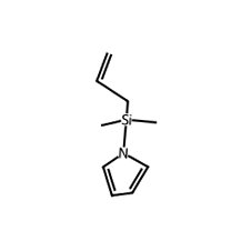 C=CC[Si](C)(C)n1cccc1